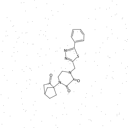 O=C1C(=O)N(C23CCC(CC2=O)C3)CCN1Cc1nnc(-c2ccccc2)s1